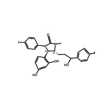 CN1C(=O)N(c2ccc(F)cc2)[C@H](c2ccc(O)cc2O)[C@H]1CCC(O)c1ccc(F)cc1